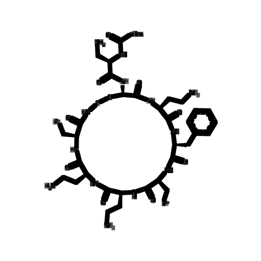 CCCCCCC(=O)N[C@H](CN)C(=O)N[C@H]1CCNC(=O)[C@H](CC(C)C)NC(=O)[C@H](CCN)NC(=O)[C@H](CCN)NC(=O)[C@H](CC(C)C)NC(=O)[C@@H](Cc2ccccc2)NC(=O)[C@H](CCN)NC1=O